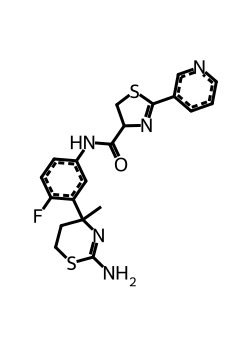 CC1(c2cc(NC(=O)C3CSC(c4cccnc4)=N3)ccc2F)CCSC(N)=N1